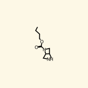 CCCCOC(=O)N1CC2CNCC21